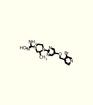 CC1CN(C(N)=NO)CCN1c1ncc(OCc2ccncc2Br)cn1